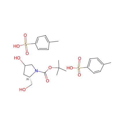 CC(C)(C)OC(=O)N1CC(O)C[C@H]1CO.Cc1ccc(S(=O)(=O)O)cc1.Cc1ccc(S(=O)(=O)O)cc1